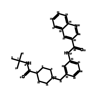 CC(C)(C)NC(=O)C1CCN(Cc2cccc(NC(=O)c3cnc4ccccc4c3)c2)CC1